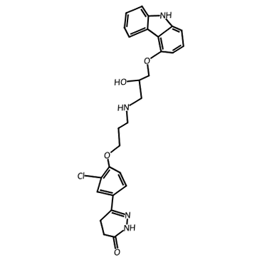 O=C1CCC(c2ccc(OCCCNCC(O)COc3cccc4[nH]c5ccccc5c34)c(Cl)c2)=NN1